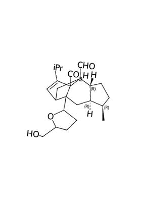 CC(C)C1=CC2CC3(C=O)[C@@H]4CC[C@@H](C)[C@H]4CC2(C2CCC(CO)O2)C13C(=O)O